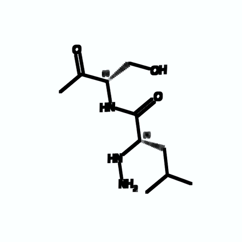 CC(=O)[C@H](CO)NC(=O)[C@H](CC(C)C)NN